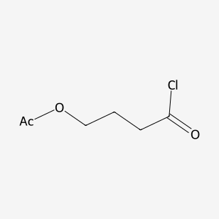 CC(=O)OCCCC(=O)Cl